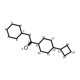 O=C(CC1CCCCC1)C1CCC(C2CCC2)CC1